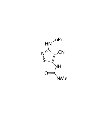 CCCNc1nsc(NC(=O)NC)c1C#N